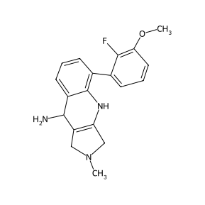 COc1cccc(-c2cccc3c2NC2=C(CN(C)C2)C3N)c1F